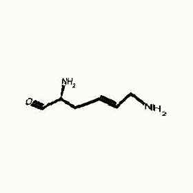 NC/C=C/C[C@H](N)C=O